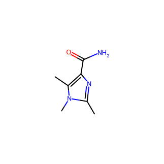 Cc1nc(C(N)=O)c(C)n1C